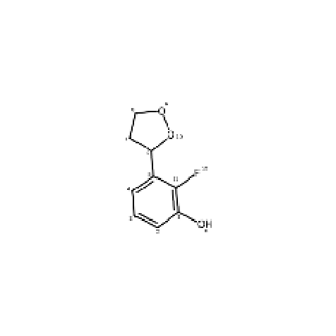 Oc1cccc(C2CCOO2)c1F